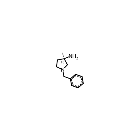 C[C@@]1(N)CCN(Cc2ccccc2)C1